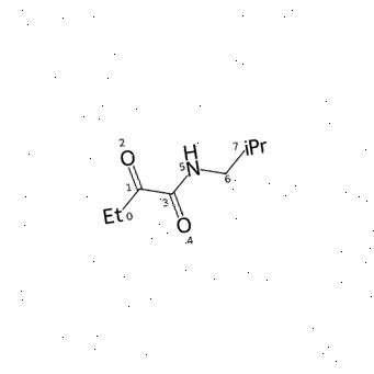 CCC(=O)C(=O)NCC(C)C